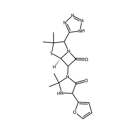 CC1(C)S[C@@H]2C(N3C(=O)C(c4ccco4)NC3(C)C)C(=O)N2C1c1nnn[nH]1